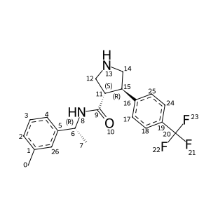 Cc1cccc([C@@H](C)NC(=O)[C@@H]2CNC[C@H]2c2ccc(C(F)(F)F)cc2)c1